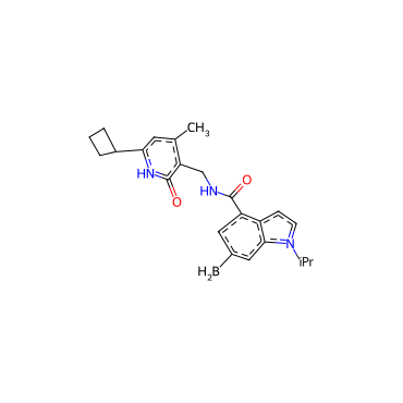 Bc1cc(C(=O)NCc2c(C)cc(C3CCC3)[nH]c2=O)c2ccn(C(C)C)c2c1